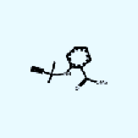 C#CC(C)(C)Nc1ccccc1C(=O)OC